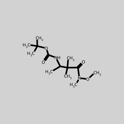 CON(C)C(=O)C(C)(C)C(C)NC(=O)OC(C)(C)C